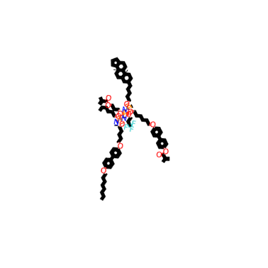 C=C(C)C(=O)OCCCOP(N=P(C)(OCCCCCCOc1ccc(-c2ccc(OC(=O)C(=C)C)cc2)cc1)OCCCCCC1CC[C@@]2(C)C(CC[C@@]3(C)C4CCCC4CCC23)C1)(=NP(=NC)(OCCCCCC)OCCCCCOc1ccc(-c2ccc(OCCCCCCCC)cc2)cc1)OCCC(F)(F)F